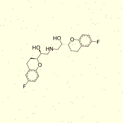 OC(CNC[C@H](O)[C@@H]1CCc2cc(F)ccc2O1)[C@H]1CCc2cc(F)ccc2O1